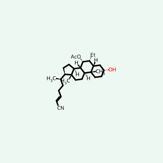 CC[C@H]1[C@@H](OC(C)=O)[C@@H]2[C@H](CC[C@]3(C)[C@@H]([C@H](C)CC/C=C/C#N)CC[C@@H]23)[C@@]2(C)CC[C@@H](O)C[C@@H]12